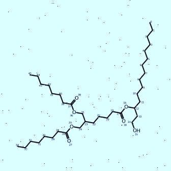 CCCCCCCCCCCCC(CCO)OC(=O)CCCCC(COC(=O)CCCCCCC)COC(=O)CCCCCCC